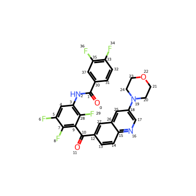 O=C(Nc1cc(F)c(F)c(C(=O)c2ccc3ncc(N4CCOCC4)cc3c2)c1F)c1ccc(F)c(F)c1